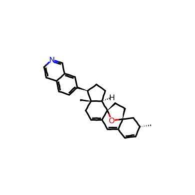 C[C@@H]1C=CC2=CC3=CC[C@]4(C)[C@@H](c5ccc6ccncc6c5)CC[C@H]4[C@@]34CC[C@]2(C1)O4